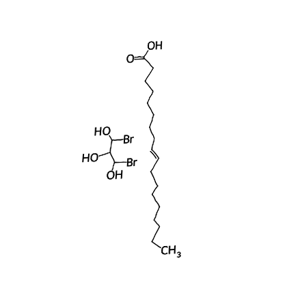 CCCCCCCCC=CCCCCCCCC(=O)O.OC(Br)C(O)C(O)Br